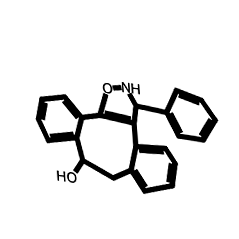 OC1Cc2ccccc2C2=C(ONC2c2ccccc2)c2ccccc21